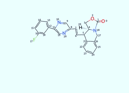 O=C1OC[C@@H]2C(/C=C/c3cnc(-c4cccc(F)c4)cn3)c3ccccc3CN12